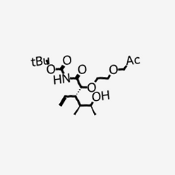 C=C[C@H](C(OCCOCC(C)=O)C(=O)NC(=O)OC(C)(C)C)[C@H](C)[C@H](C)O